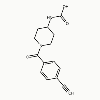 C#Cc1ccc(C(=O)N2CCC(NC(=O)O)CC2)cc1